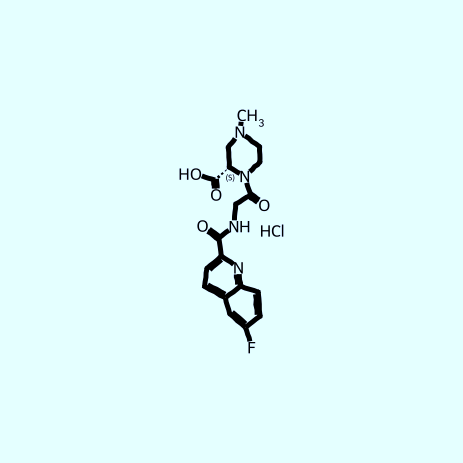 CN1CCN(C(=O)CNC(=O)c2ccc3cc(F)ccc3n2)[C@H](C(=O)O)C1.Cl